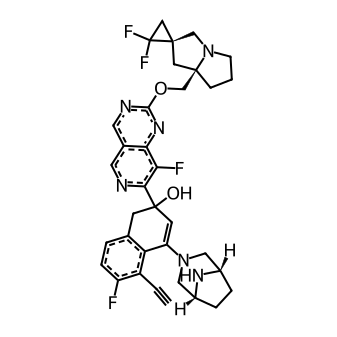 C#Cc1c(F)ccc2c1C(N1C[C@H]3CC[C@@H](C1)N3)=CC(O)(c1ncc3cnc(OC[C@]45CCCN4C[C@@]4(CC4(F)F)C5)nc3c1F)C2